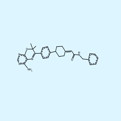 CC1(C)Oc2ncnc(N)c2N=C1c1ccc(C2CCC(=CC(=O)NCc3ccccc3)CC2)cc1